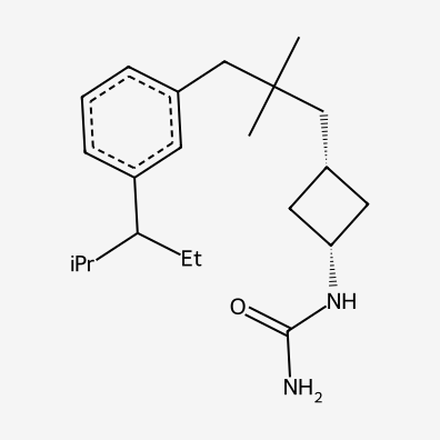 CCC(c1cccc(CC(C)(C)C[C@H]2C[C@@H](NC(N)=O)C2)c1)C(C)C